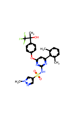 Cc1cccc(C)c1-c1cc(Oc2ccc(C(C)(O)C(F)(F)F)cc2)nc(NS(=O)(=O)c2cnn(C)c2)n1